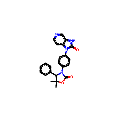 CC1(C)OC(=O)N(c2ccc(-n3c(=O)[nH]c4cnccc43)cc2)C1c1ccccc1